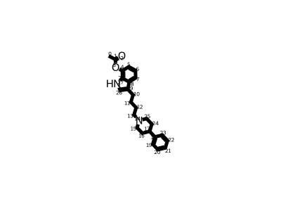 CC(=O)Oc1cccc2c(CCCCN3CCC(c4ccccc4)CC3)c[nH]c12